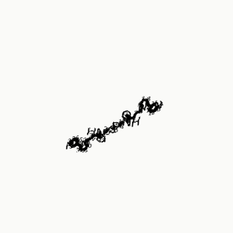 O=C(CCCN1CCCC1c1cccnc1)NCCSSCCNC(=O)CCCN1CCCC1c1cccnc1